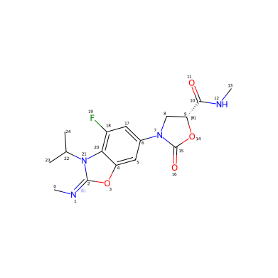 C/N=c1/oc2cc(N3C[C@H](C(=O)NC)OC3=O)cc(F)c2n1C(C)C